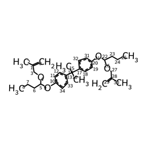 C=C(C)COC(CCC)Oc1ccc(C(C)(C)c2ccc(OC(CCC)OCC(=C)C)cc2)cc1